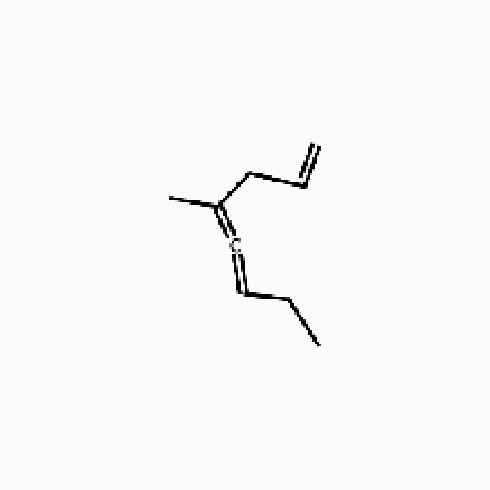 C=CCC(C)=C=CCC